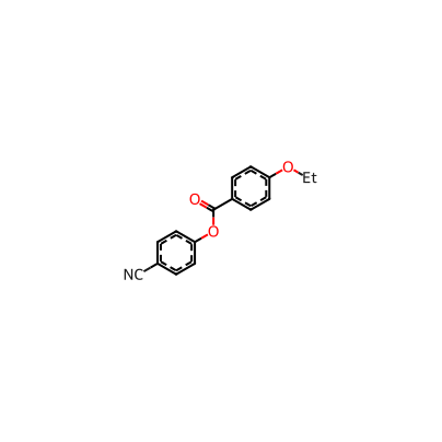 CCOc1ccc(C(=O)Oc2ccc(C#N)cc2)cc1